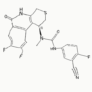 CN(C(=O)Nc1ccc(F)c(C#N)c1)[C@@H]1CSCc2[nH]c(=O)c3cc(F)c(F)cc3c21